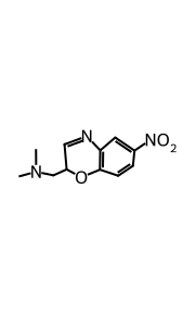 CN(C)CC1C=Nc2cc([N+](=O)[O-])ccc2O1